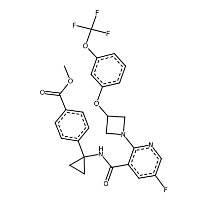 COC(=O)c1ccc(C2(NC(=O)c3cc(F)cnc3N3CC(Oc4cccc(OC(F)(F)F)c4)C3)CC2)cc1